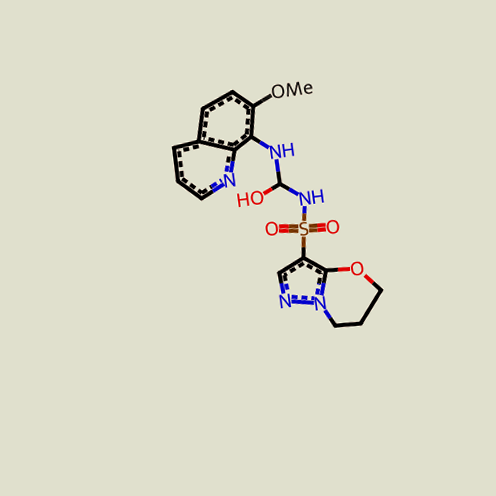 COc1ccc2cccnc2c1NC(O)NS(=O)(=O)c1cnn2c1OCCC2